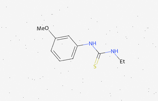 CCNC(=S)Nc1cccc(OC)c1